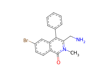 Cn1c(CN)c(-c2ccccc2)c2cc(Br)ccc2c1=O